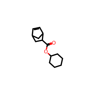 O=C(OC1CCCCC1)C1CC2C=CC1C2